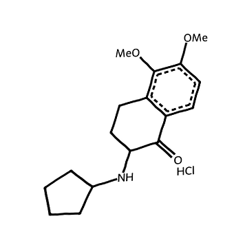 COc1ccc2c(c1OC)CCC(NC1CCCC1)C2=O.Cl